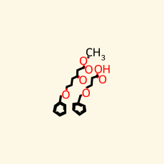 CCOC(=O)CC(=O)CCCOCc1ccccc1.O=C(O)CCCOCc1ccccc1